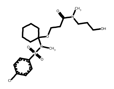 CN(CCCO)C(=O)CCOC1(N(C)S(=O)(=O)c2ccc(Cl)cc2)CCCCC1